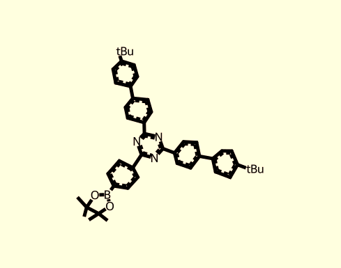 CC(C)(C)c1ccc(-c2ccc(-c3nc(-c4ccc(B5OC(C)(C)C(C)(C)O5)cc4)nc(-c4ccc(-c5ccc(C(C)(C)C)cc5)cc4)n3)cc2)cc1